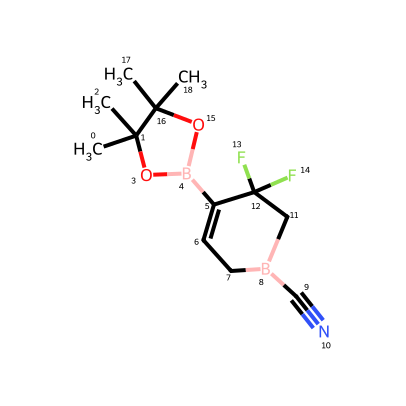 CC1(C)OB(C2=CCB(C#N)CC2(F)F)OC1(C)C